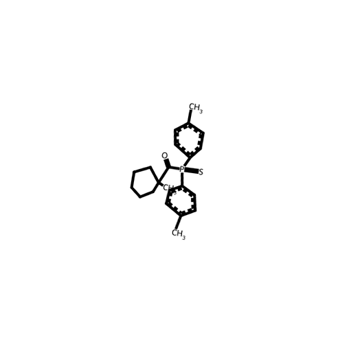 Cc1ccc(P(=S)(C(=O)C2(C)CCCCC2)c2ccc(C)cc2)cc1